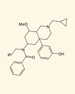 COC1CC(N(CC(C)C)C(=O)c2ccccc2)CC2(c3cccc(O)c3)CCN(CC3CC3)CC12